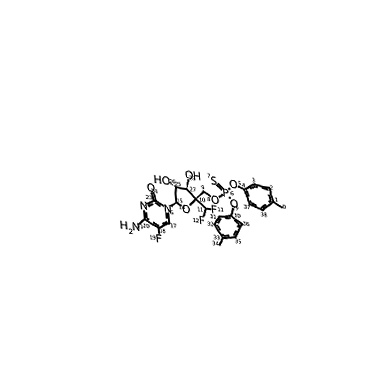 Cc1ccc(OP(=S)(OC[C@@]2(C(F)F)O[C@@H](n3cc(F)c(N)nc3=O)[C@H](O)[C@H]2O)Oc2ccc(C)cc2)cc1